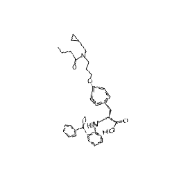 CCCC(=O)N(CCCOc1ccc(C[C@H](Nc2ccccc2C(=O)c2ccccc2)C(=O)O)cc1)CC1CC1